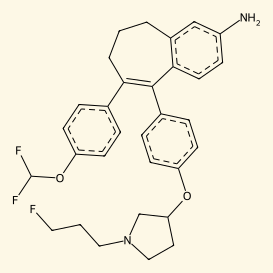 Nc1ccc2c(c1)CCCC(c1ccc(OC(F)F)cc1)=C2c1ccc(OC2CCN(CCCF)C2)cc1